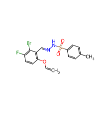 C=COc1ccc(F)c(Br)c1/C=N/NS(=O)(=O)c1ccc(C)cc1